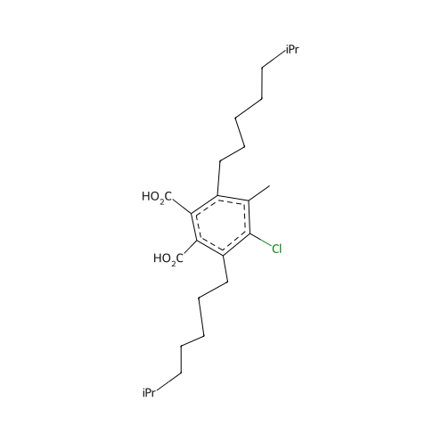 Cc1c(Cl)c(CCCCCC(C)C)c(C(=O)O)c(C(=O)O)c1CCCCCC(C)C